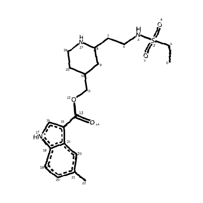 CCS(=O)(=O)NCCC1CC(COC(=O)c2c[nH]c3ccc(C)cc23)CCN1